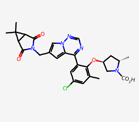 Cc1cc(Cl)cc(-c2ncnn3cc(CN4C(=O)C5C(C4=O)C5(C)C)cc23)c1O[C@H]1C[C@H](C)N(C(=O)O)C1